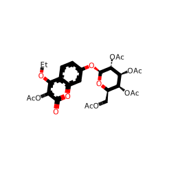 CCOc1c(OC(C)=O)c(=O)oc2cc(O[C@@H]3O[C@H](COC(C)=O)[C@H](OC(C)=O)[C@H](OC(C)=O)[C@H]3OC(C)=O)ccc12